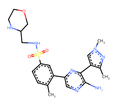 Cc1ccc(S(=O)(=O)NCC2COCCN2)cc1-c1cnc(N)c(-c2cn(C)nc2C)n1